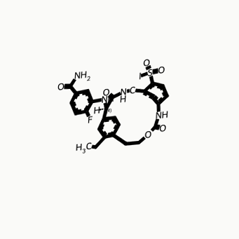 CCc1cc2ccc1CCOC(=O)Nc1ccc(S(=O)(=O)I)c(c1)CNC(=O)[C@@H]2Nc1cc(C(N)=O)ccc1F